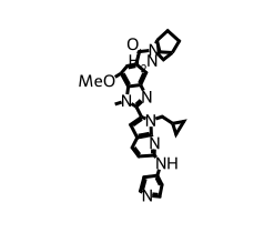 COc1cc(C(=O)N2CC3CCC2C3N)cc2nc(-c3cc4ccc(Nc5ccncc5)nc4n3CC3CC3)n(C)c12